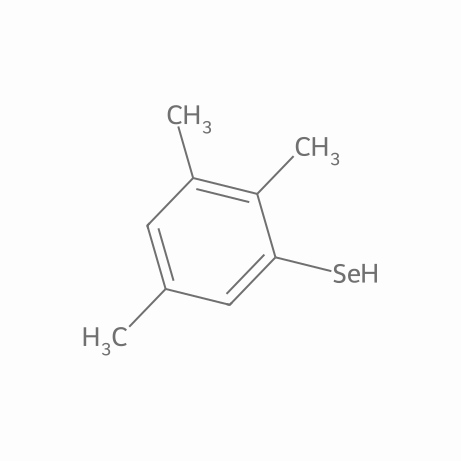 Cc1cc(C)c(C)c([SeH])c1